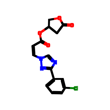 O=C(/C=C\n1cnc(-c2cccc(Cl)c2)n1)OC1COC(=O)C1